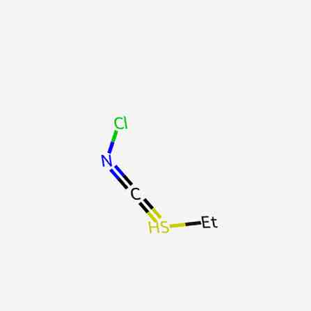 CC[SH]=C=NCl